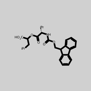 CC(C)CC(OC(=O)[C@@H](NC(=O)OCC1c2ccccc2-c2ccccc21)C(C)C)C(=O)O